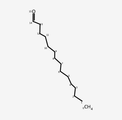 C.CCCCCCCCCCCCCC=O